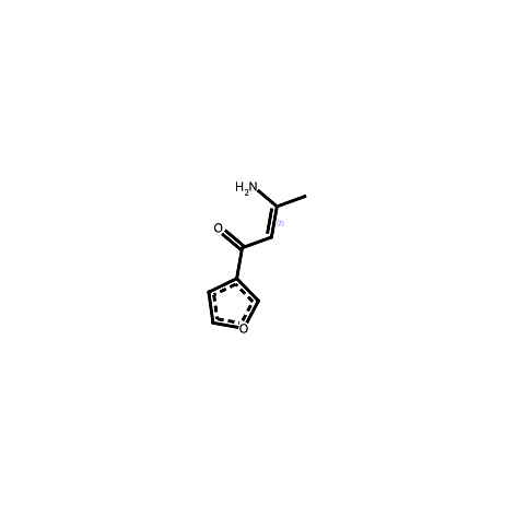 C/C(N)=C/C(=O)c1ccoc1